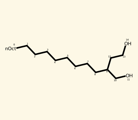 CCCCCCCCCCCCCCCCC(CO)CCO